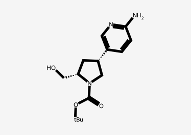 CC(C)(C)OC(=O)N1C[C@@H](c2ccc(N)nc2)C[C@H]1CO